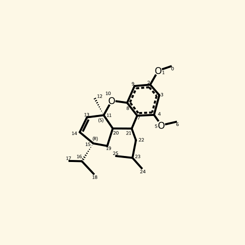 COc1cc(OC)c2c(c1)O[C@]1(C)C=C[C@@H](C(C)C)CC1C2CC(C)C